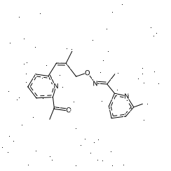 CC(=O)c1cccc(C=C(C)CO/N=C(\C)c2cccc(C)n2)n1